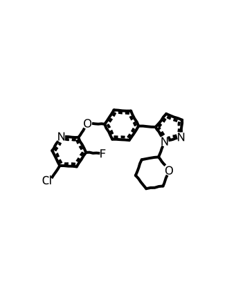 Fc1cc(Cl)cnc1Oc1ccc(-c2ccnn2C2CCCCO2)cc1